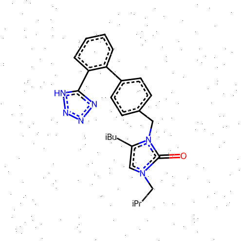 CCC(C)c1cn(CC(C)C)c(=O)n1Cc1ccc(-c2ccccc2-c2nnn[nH]2)cc1